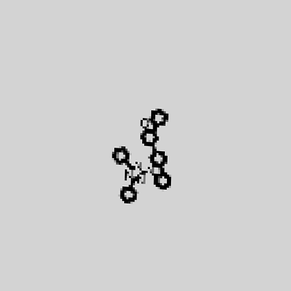 c1ccc(-c2nc(-c3ccccc3)nc(-n3c4ccccc4c4ccc(-c5ccc6oc7ccccc7c6c5)cc43)n2)cc1